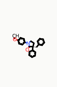 COc1ccc(N2CC[C@@](Cc3ccccc3)(c3ccccc3)C2=O)cc1